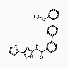 O=C(Nc1nnc(-c2ccco2)o1)c1cccc(-c2ccc(-c3ccccc3OC(F)(F)F)cc2)c1